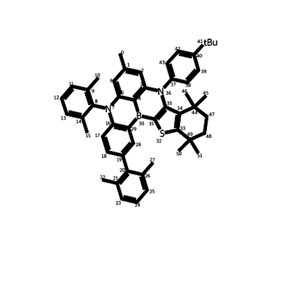 Cc1cc2c3c(c1)N(c1c(C)cccc1C)c1ccc(-c4c(C)cccc4C)cc1B3c1sc3c(c1N2c1ccc(C(C)(C)C)cc1)C(C)(C)CCC3(C)C